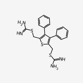 N=C(N)SCc1sc(CSC(=N)N)c(-c2ccccc2)c1-c1ccccc1